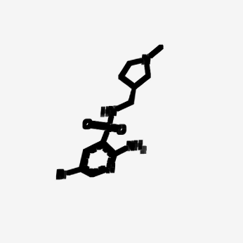 CN1CC[C@H](CNS(=O)(=O)c2cc(Br)cnc2N)C1